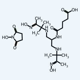 C/C(=N\O)C(C)(C)NCC(CNC(C)(C)/C(C)=N/O)NC(=O)CCCC(=O)O.O=C1CCC(=O)N1O